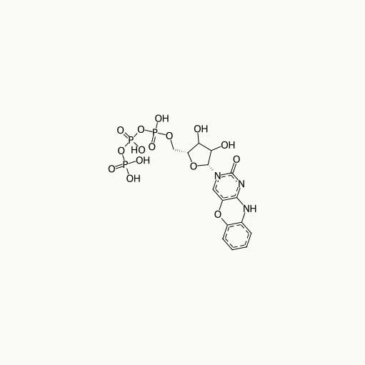 O=c1nc2c(cn1[C@@H]1O[C@H](COP(=O)(O)OP(=O)(O)OP(=O)(O)O)C(O)C1O)Oc1ccccc1N2